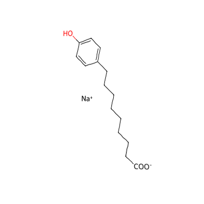 O=C([O-])CCCCCCCCc1ccc(O)cc1.[Na+]